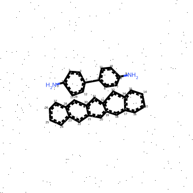 Nc1ccc(-c2ccc(N)cc2)cc1.c1ccc2cc3cc4cc5ccccc5cc4cc3cc2c1